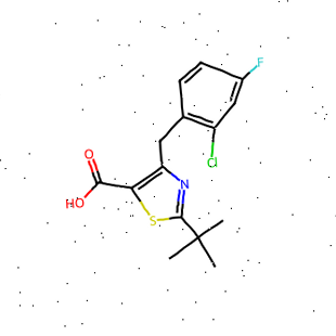 CC(C)(C)c1nc(Cc2ccc(F)cc2Cl)c(C(=O)O)s1